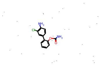 NC(=O)Oc1ccccc1-c1ccc(N)c(Cl)c1